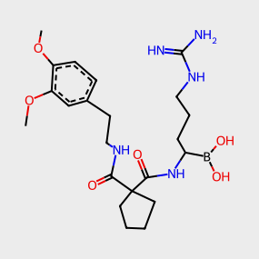 COc1ccc(CCNC(=O)C2(C(=O)NC(CCCNC(=N)N)B(O)O)CCCC2)cc1OC